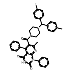 Cc1nc2c(c(-c3ccccc3)c1C(=O)N1CCN(C(c3ccc(F)cc3)c3ccc(F)cc3)CC1)c(=O)[nH]c(=O)n2-c1ccccc1